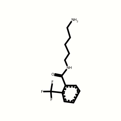 NCCCCCNC(=O)c1ccccc1C(F)(F)F